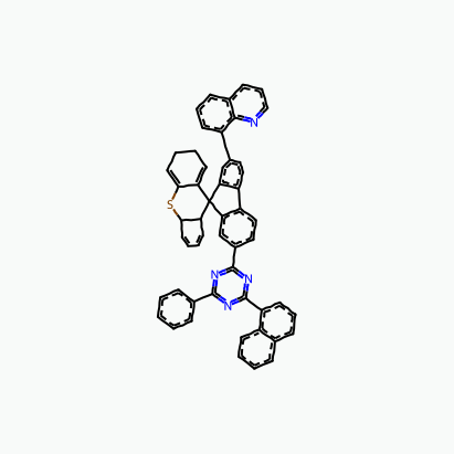 C1=CC2SC3=CCCC=C3C3(c4cc(-c5nc(-c6ccccc6)nc(-c6cccc7ccccc67)n5)ccc4-c4ccc(-c5cccc6cccnc56)cc43)C2C=C1